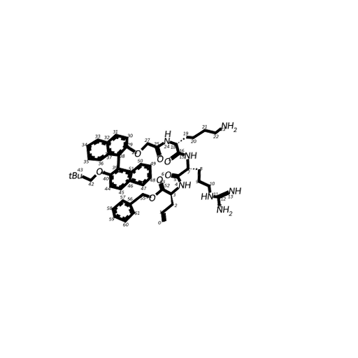 C=CC[C@H](NC(=O)[C@@H](CCCNC(=N)N)NC(=O)[C@@H](CCCCN)NC(=O)COc1ccc2ccccc2c1-c1c(OCC(C)(C)C)ccc2ccccc12)C(=O)OCc1ccccc1